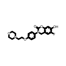 O=C1Oc2cc(O)c(F)cc2CN1c1ccc(OCCN2CCOCC2)cc1